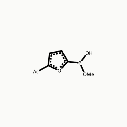 COP(O)c1ccc(C(C)=O)o1